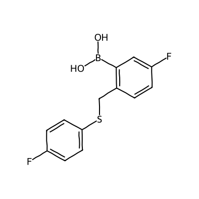 OB(O)c1cc(F)ccc1CSc1ccc(F)cc1